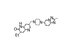 CCc1cc2ncc(CN3CCN(c4ccc5nc(C)nn5c4)CC3)cc2[nH]c1=O